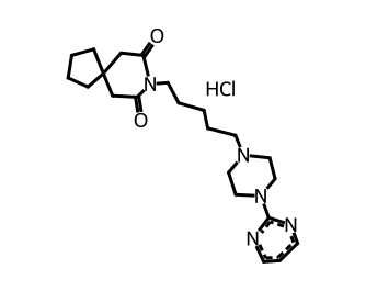 Cl.O=C1CC2(CCCC2)CC(=O)N1CCCCCN1CCN(c2ncccn2)CC1